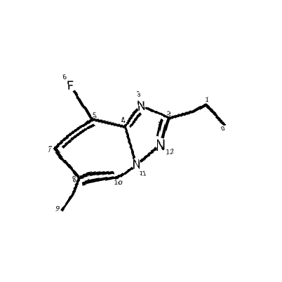 CCc1nc2c(F)cc(C)cn2n1